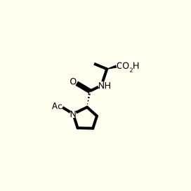 CC(=O)N1CCC[C@H]1C(=O)N[C@@H](C)C(=O)O